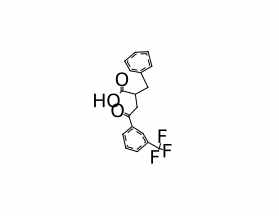 O=C(CC(Cc1ccccc1)C(=O)O)c1cccc(C(F)(F)F)c1